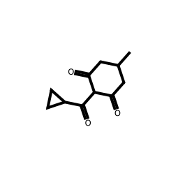 CC1CC(=O)C(C(=O)C2CC2)C(=O)C1